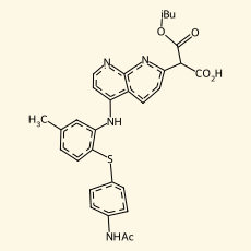 CCC(C)OC(=O)C(C(=O)O)c1ccc2c(Nc3cc(C)ccc3Sc3ccc(NC(C)=O)cc3)ccnc2n1